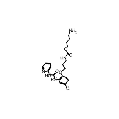 NCCCCOC(=O)NCCCOc1ccc(Cl)cc1NC(=O)Nc1ccccn1